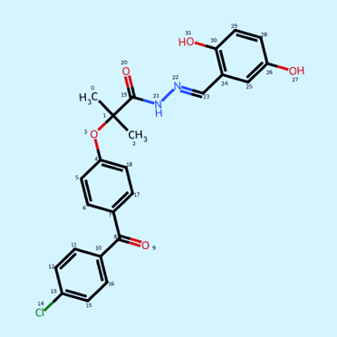 CC(C)(Oc1ccc(C(=O)c2ccc(Cl)cc2)cc1)C(=O)N/N=C/c1cc(O)ccc1O